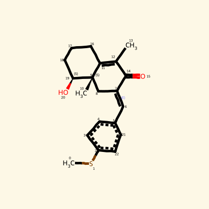 CSc1ccc(/C=C2\C[C@@]3(C)C(=C(C)C2=O)CCC[C@@H]3O)cc1